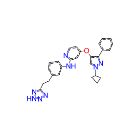 c1ccc(-c2nn(C3CCC3)cc2Oc2ccnc(Nc3cccc(CCc4nn[nH]n4)c3)c2)cc1